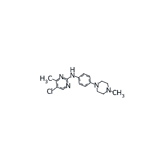 Cc1nc(Nc2ccc(N3CCN(C)CC3)cc2)ncc1Cl